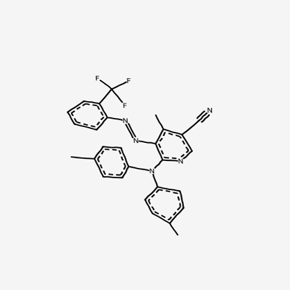 Cc1ccc(N(c2ccc(C)cc2)c2ncc(C#N)c(C)c2N=Nc2ccccc2C(F)(F)F)cc1